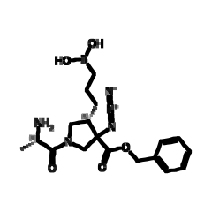 C[C@H](N)C(=O)N1C[C@H](CCCB(O)O)C(N=[N+]=[N-])(C(=O)OCc2ccccc2)C1